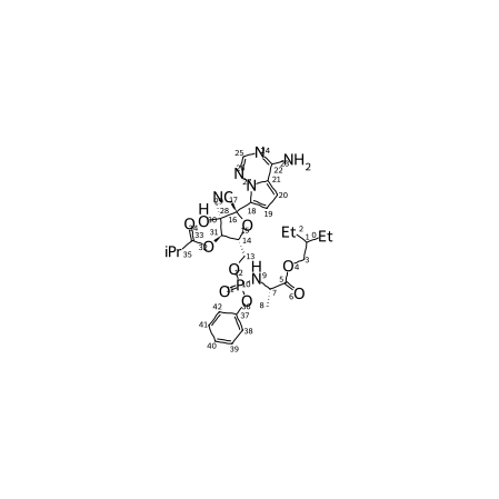 CCC(CC)COC(=O)[C@H](C)N[P@](=O)(OC[C@H]1O[C@@](C#N)(c2ccc3c(N)ncnn23)[C@](C)(O)[C@@H]1OC(=O)C(C)C)Oc1ccccc1